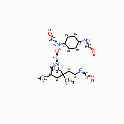 CC(CN=C=O)CC(C)(C)CCN=C=O.O=C=NC1CCC(N=C=O)CC1